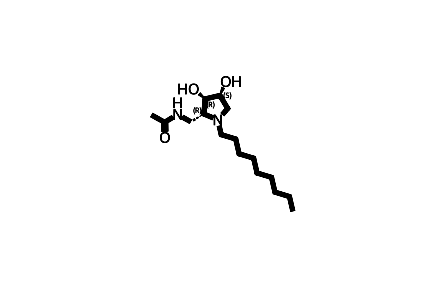 CCCCCCCCCN1C[C@H](O)[C@H](O)[C@H]1CNC(C)=O